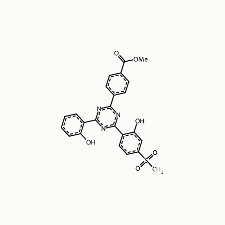 COC(=O)c1ccc(-c2nc(-c3ccccc3O)nc(-c3ccc(S(C)(=O)=O)cc3O)n2)cc1